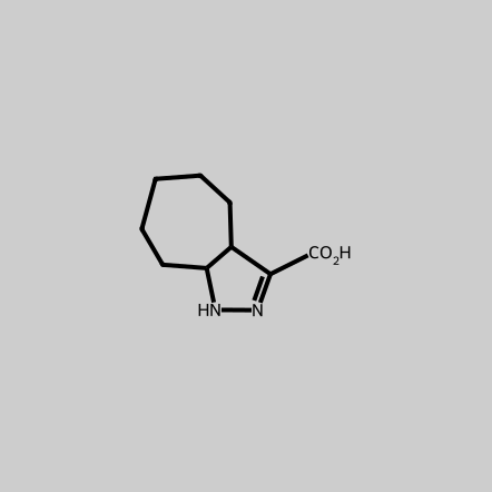 O=C(O)C1=NNC2CCCCCC12